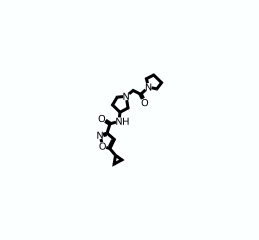 O=C(NC1CCN(CC(=O)N2CCCC2)C1)c1cc(C2CC2)on1